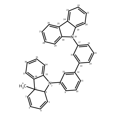 CC12C=CC=CC1N(c1cccc(-c3cccc(-n4c5ccccc5c5ccccc54)c3)c1)c1ccccc12